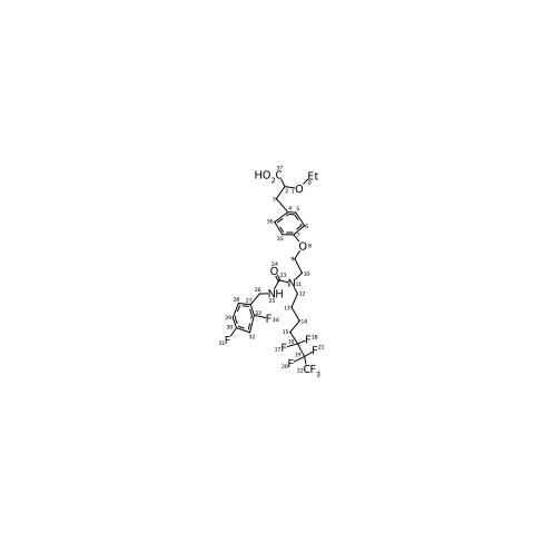 CCOC(Cc1ccc(OCCN(CCCCC(F)(F)C(F)(F)C(F)(F)F)C(=O)NCc2ccc(F)cc2F)cc1)C(=O)O